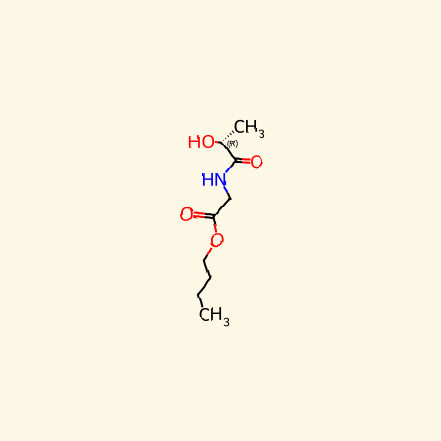 CCCCOC(=O)CNC(=O)[C@@H](C)O